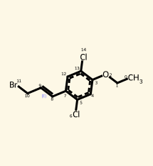 CCOc1cc(Cl)c(/C=C/CBr)cc1Cl